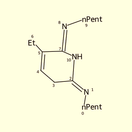 CCCCCN=C1CC=C(CC)C(=NCCCCC)N1